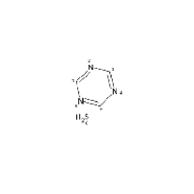 S.c1ncncn1